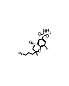 CC(C)CCCC1(C)C[S+]([O-])c2cc(S(N)(=O)=O)cc(F)c2O1